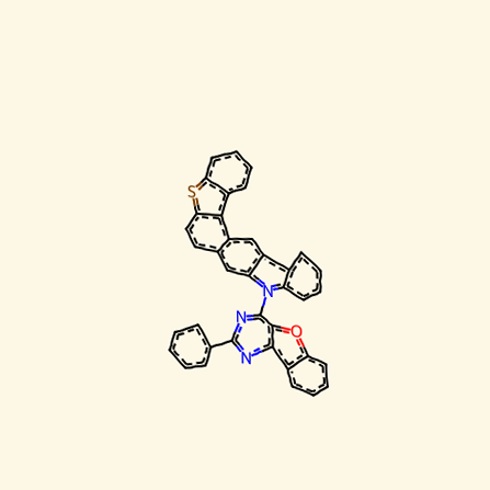 c1ccc(-c2nc(-n3c4ccccc4c4cc5c(ccc6sc7ccccc7c65)cc43)c3oc4ccccc4c3n2)cc1